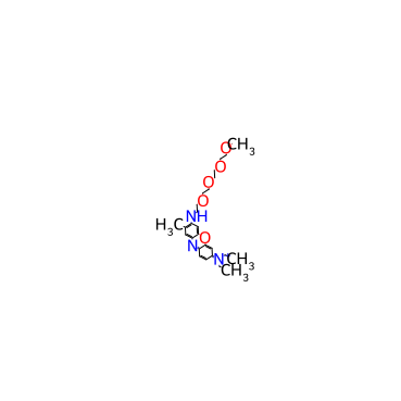 CC[N+](CC)=c1ccc2nc3cc(C)c(NCCOCCOCCOCCOC)cc3oc-2c1